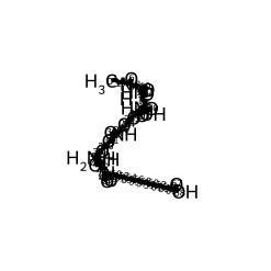 CCCCNC(=O)CC[C@@H](C=O)NC(=O)CCC(NC(=O)COCCOCCNC(=O)COCCOCC(N)NC(=O)CC[C@@H](C=O)NC(=O)CCCCCCCCCCCCCCCCC(=O)O)C(=O)O